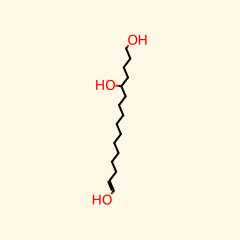 OC=CCCCCCCCCCC(O)CCCCO